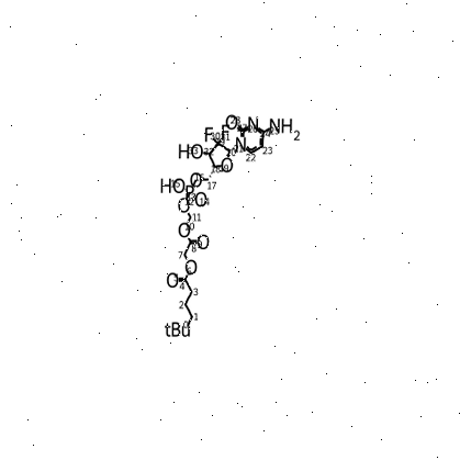 CC(C)(C)CCCC(=O)OCC(=O)OCOP(=O)(O)OC[C@H]1O[C@@H](n2ccc(N)nc2=O)C(F)(F)[C@@H]1O